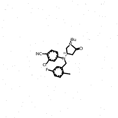 CCC(C)N1C[C@@H](N(Cc2cc(F)ccc2C)c2ccc(C#N)c(Cl)c2)CC1=O